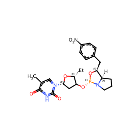 CC[C@H]1O[C@@H](n2cc(C)c(=O)[nH]c2=O)CC1O[P@]1O[C@@H](Cc2ccc([N+](=O)[O-])cc2)[C@H]2CCCN21